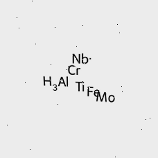 [AlH3].[Cr].[Fe].[Mo].[Nb].[Ti]